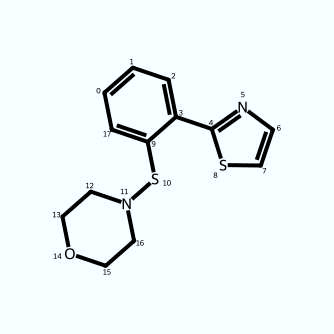 c1ccc(-c2nccs2)c(SN2CCOCC2)c1